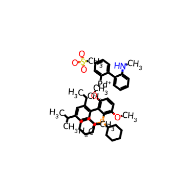 CNc1ccccc1-c1cccc[c]1[Pd+].COc1ccc(OC)c(P(C2CCCCC2)C2CCCCC2)c1-c1c(C(C)C)cc(C(C)C)cc1C(C)C.CS(=O)(=O)[O-]